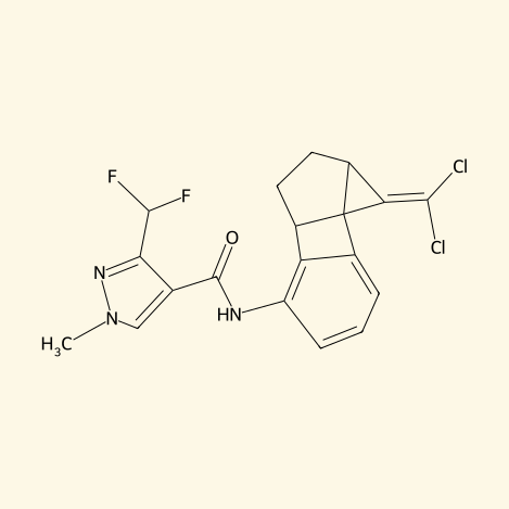 Cn1cc(C(=O)Nc2cccc3c2C2CCC4C(=C(Cl)Cl)C342)c(C(F)F)n1